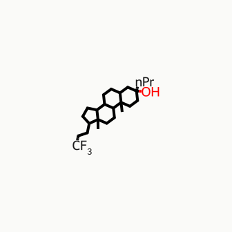 CCCC1(O)CCC2(C)C(CCC3C4CCC(CCC(F)(F)F)C4(C)CCC32)C1